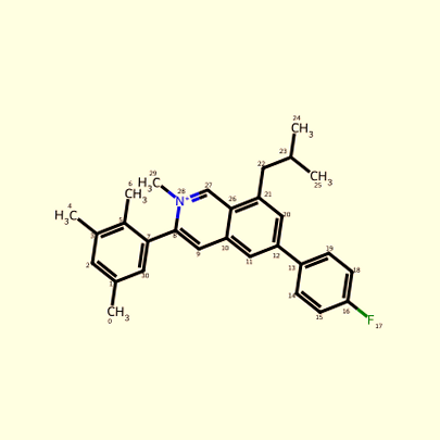 Cc1cc(C)c(C)c(-c2cc3cc(-c4ccc(F)cc4)cc(CC(C)C)c3c[n+]2C)c1